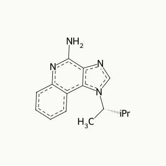 CC(C)[C@H](C)n1cnc2c(N)nc3ccccc3c21